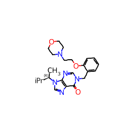 CC(C)[C@@H](C)n1cnc2c(=O)n(Cc3ccccc3OCCN3CCOCC3)cnc21